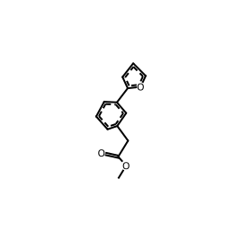 COC(=O)Cc1cccc(-c2ccco2)c1